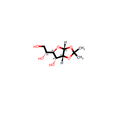 CC1(C)O[C@H]2O[C@H]([C@H](O)CO)[C@@H](O)[C@H]2O1